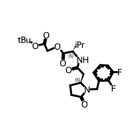 CC(C)[C@H](NC(=O)C[C@@H]1CCC(=O)N1Cc1cccc(F)c1F)C(=O)OCC(=O)OC(C)(C)C